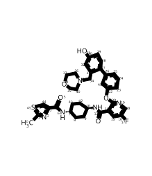 Cc1nc(C(=O)N[C@H]2CC[C@H](NC(=O)c3cc(F)cnc3Oc3cccc(-c4ccc(O)cc4CN4CCOCC4)c3)CC2)cs1